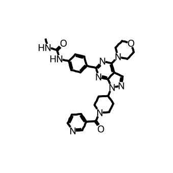 CNC(=O)Nc1ccc(-c2nc(N3CCOCC3)c3cnn(C4CCN(C(=O)c5cccnc5)CC4)c3n2)cc1